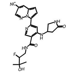 CC(C)(O)C(F)CNC(=O)c1cnc(-c2ccc3cc(C#N)cnn23)cc1NC1CNC(=O)C1